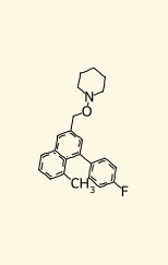 Cc1cccc2cc(CON3CCCCC3)cc(-c3ccc(F)cc3)c12